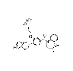 CCCN(C)CCCOc1cc(C(=O)N2CC[C@H](C)Nc3ccccc32)ccc1-c1ccc2[nH]ccc2c1